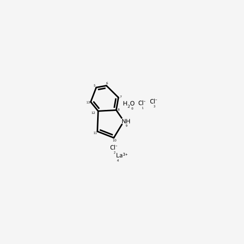 O.[Cl-].[Cl-].[Cl-].[La+3].c1ccc2[nH]ccc2c1